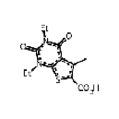 CCn1c(=O)c2c(C)c(C(=O)O)sc2n(CC)c1=O